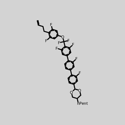 C=CCCc1c(F)cc(OC(F)(F)c2c(F)cc(-c3ccc(-c4ccc(C5OCC(CCCCC)CO5)cc4F)cc3F)cc2F)cc1F